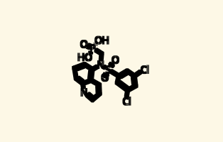 O=P(O)(O)CN(c1cccc2ncccc12)S(=O)(=O)c1cc(Cl)cc(Cl)c1